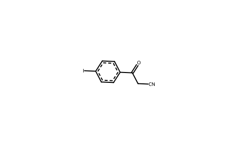 N#CCC(=O)c1ccc(I)cc1